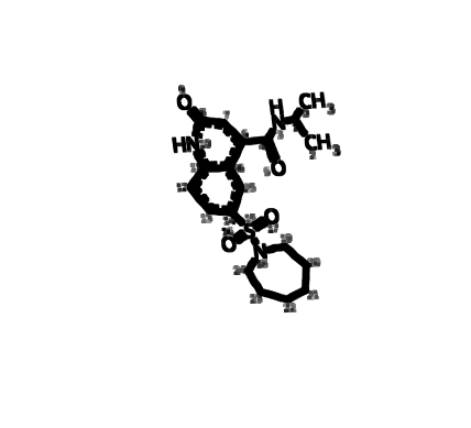 CC(C)NC(=O)c1cc(=O)[nH]c2ccc(S(=O)(=O)N3CCCCCC3)cc12